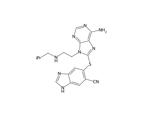 CC(C)CNCCn1c(Sc2cc3nc[nH]c3cc2C#N)nc2c(N)ncnc21